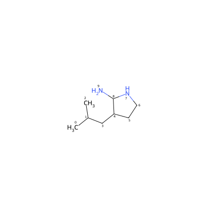 CC(C)CC1CCNC1N